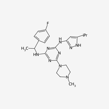 CC(C)c1cc(Nc2nc(NC(C)c3ccc(F)cc3)nc(N3CCN(C)CC3)n2)n[nH]1